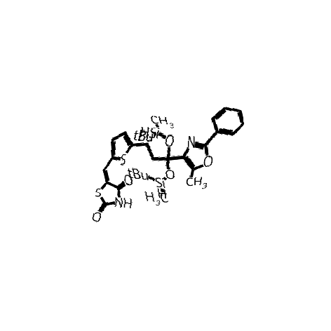 Cc1oc(-c2ccccc2)nc1C(CCc1ccc(C=C2SC(=O)NC2=O)s1)(O[SiH](C)C(C)(C)C)O[SiH](C)C(C)(C)C